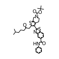 CC(C)CCCC(=O)Cc1sc2c(c1-c1nc3cc(C(=O)Nc4ccccc4)ccc3s1)CCN(C(=O)OC(C)(C)C)C2